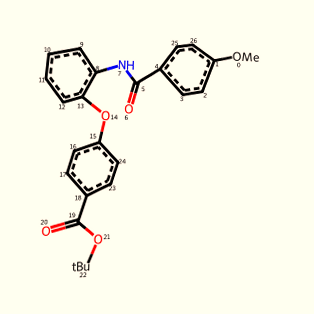 COc1ccc(C(=O)Nc2ccccc2Oc2ccc(C(=O)OC(C)(C)C)cc2)cc1